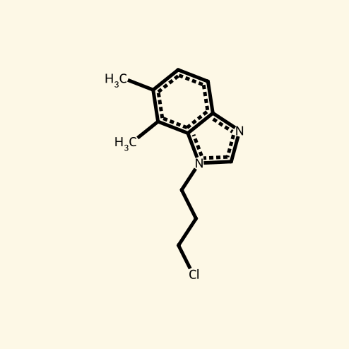 Cc1ccc2ncn(CCCCl)c2c1C